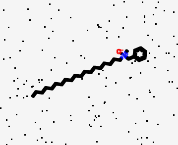 CCCCCCCCCCCCCCCCCCC[N+](C)([O-])Cc1ccccc1